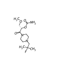 COC[C@H](OC(N)=O)C(=O)N1CCN(CC(C)(C)F)CC1